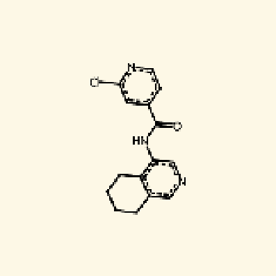 O=C(Nc1cncc2c1CCCC2)c1ccnc(Cl)c1